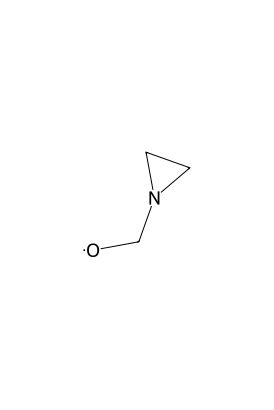 [O]CN1CC1